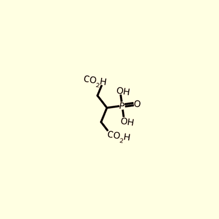 O=C(O)CC(CC(=O)O)P(=O)(O)O